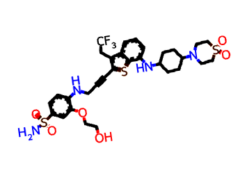 NS(=O)(=O)c1ccc(NCC#Cc2sc3c(NC4CCC(N5CCS(=O)(=O)CC5)CC4)cccc3c2CC(F)(F)F)c(OCCO)c1